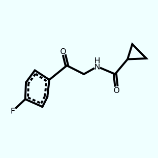 O=C(CNC(=O)C1CC1)c1ccc(F)cc1